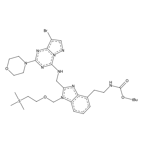 CC(C)(C)OC(=O)NCCc1cccc2c1nc(CNc1nc(N3CCOCC3)nc3c(Br)cnn13)n2COCCS(C)(C)C